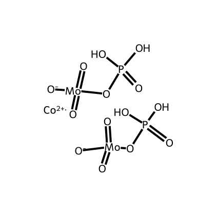 O=P(O)(O)[O][Mo](=[O])(=[O])[O-].O=P(O)(O)[O][Mo](=[O])(=[O])[O-].[Co+2]